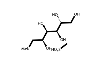 CNC[C@H](O)[C@@H](O)[C@H](O)[C@H](O)CO.CS(=O)(=O)O